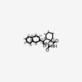 O=C1NC(=O)C2(CCCCC2C(=O)c2ccc3ccccc3c2)N1